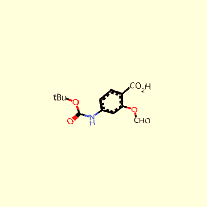 CC(C)(C)OC(=O)Nc1ccc(C(=O)O)c(OC=O)c1